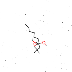 CCCCCC[Si](CC(C)(C)C)(OC)OC